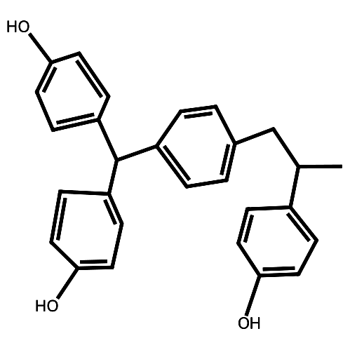 CC(Cc1ccc(C(c2ccc(O)cc2)c2ccc(O)cc2)cc1)c1ccc(O)cc1